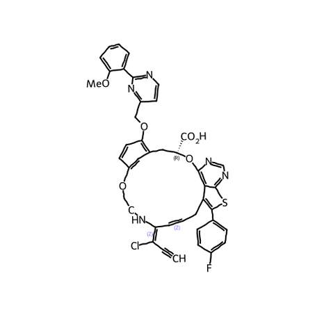 C#C/C(Cl)=C1\C=C/Cc2c(-c3ccc(F)cc3)sc3ncnc(c23)O[C@@H](C(=O)O)Cc2cc(ccc2OCc2ccnc(-c3ccccc3OC)n2)OCCN1